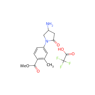 COC(=O)c1ccc(N2CC(N)CC2=O)cc1C.O=C(O)C(F)(F)F